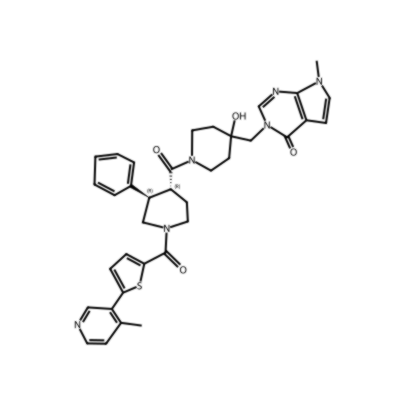 Cc1ccncc1-c1ccc(C(=O)N2CC[C@@H](C(=O)N3CCC(O)(Cn4cnc5c(ccn5C)c4=O)CC3)[C@H](c3ccccc3)C2)s1